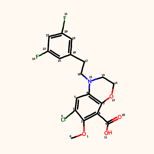 COc1c(Cl)cc2c(c1C(=O)O)OCCN2CCc1cc(F)cc(F)c1